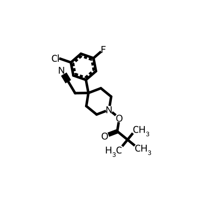 CC(C)(C)C(=O)ON1CCC(CC#N)(c2cc(F)cc(Cl)c2)CC1